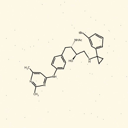 CC(=O)N[C@@H](Cc1ccc(Nc2cc(C)nc(C)n2)cc1)[C@H](O)CNC1(c2cccc(C(C)(C)C)c2)CC1